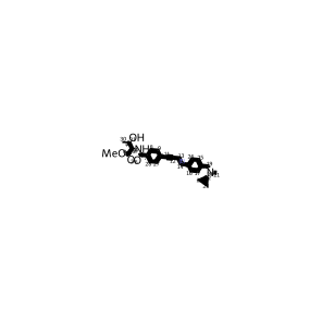 COC(=O)[C@@H](NC(=O)c1ccc(C#C/C=C/c2ccc(CN(C)C3CC3)cc2)cc1)[C@@H](C)O